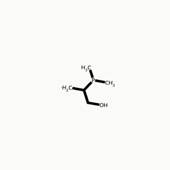 [CH2]C(CO)P(C)C